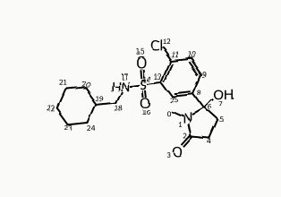 CN1C(=O)CCC1(O)c1ccc(Cl)c(S(=O)(=O)NCC2CCCCC2)c1